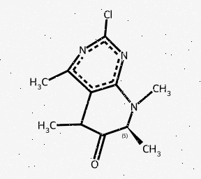 Cc1nc(Cl)nc2c1C(C)C(=O)[C@H](C)N2C